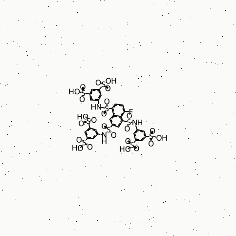 O=S(=O)(O)c1cc(NS(=O)(=O)c2cc(S(=O)(=O)Nc3cc(S(=O)(=O)O)cc(S(=O)(=O)O)c3)c3c(F)ccc(S(=O)(=O)Nc4cc(S(=O)(=O)O)cc(S(=O)(=O)O)c4)c3c2)cc(S(=O)(=O)O)c1